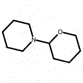 [CH]1CCCN(C2CCCCO2)C1